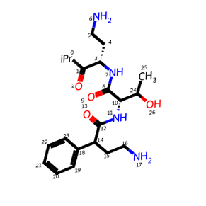 CC(C)C(=O)[C@H](CCN)NC(=O)[C@@H](NC(=O)C(CCN)c1ccccc1)C(C)O